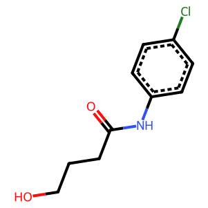 O=C(CCCO)Nc1ccc(Cl)cc1